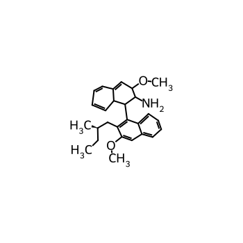 CC[C@@H](C)Cc1c(OC)cc2ccccc2c1C1C2C=CC=CC2=CC(OC)C1N